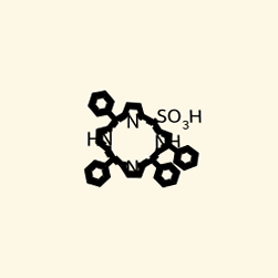 O=S(=O)(O)c1c2nc(c(-c3ccccc3)c3ccc([nH]3)c(-c3ccccc3)c3nc(c(-c4ccccc4)c4[nH]c1cc4-c1ccccc1)C=C3)C=C2